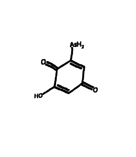 O=C1C=C(O)C(=O)C([AsH2])=C1